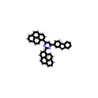 c1ccc2c(c1)Cc1cc(-c3cc(-c4ccc5ccc6cccc7ccc4c5c67)nc(-c4ccc5ccc6cccc7ccc4c5c67)n3)ccc1-2